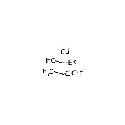 CC(=O)O.CCO.[Cd]